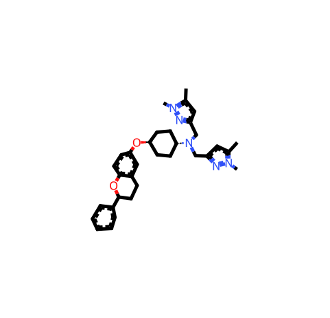 Cc1cc(CN(Cc2cc(C)n(C)n2)[C@H]2CC[C@H](Oc3ccc4c(c3)CCC(c3ccccc3)O4)CC2)nn1C